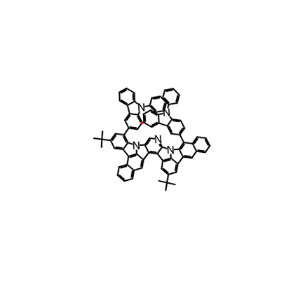 CC(C)(C)c1cc(-c2ccc3c(c2)c2ccccc2n3-c2ccccc2)c2c(c1)c1c3ccccc3cc3c4c5c6cc(C(C)(C)C)cc7c8cc9ccccc9c(-c9ccc%10c(c9)c9ccccc9n%10-c9ccccc9)c8n(c5ncc4n2c31)c76